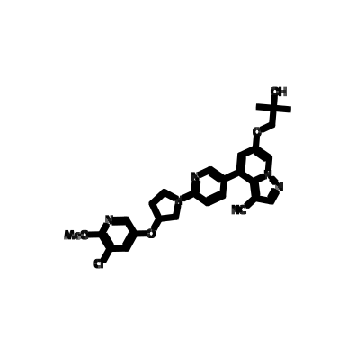 COc1ncc(OC2CCN(c3ccc(-c4cc(OCC(C)(C)O)cn5ncc(C#N)c45)cn3)C2)cc1Cl